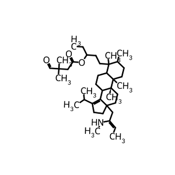 C/C=C(/CC12CCC(C(C)C)=C1C1CCC3C(C)(CCC(CC)OC(=O)CC(C)(C)C=O)C(C)CCC3(C)[C@]1(C)CC2)NC